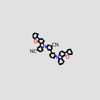 N#Cc1cc(-c2cccc(-n3c4ccccc4c4c5oc6ccccc6c5ccc43)c2)cc(-n2c3ccc(C#N)cc3c3c4oc5ccccc5c4ccc32)c1